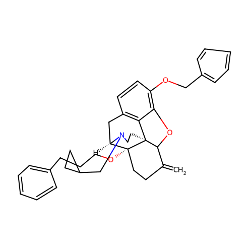 C=C1CC[C@@]2(OCCCc3ccccc3)[C@H]3Cc4ccc(OCc5ccccc5)c5c4[C@@]2(CCN3CC2CC2)C1O5